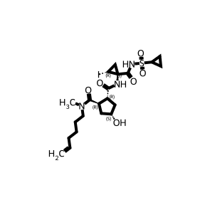 C=CCCCCN(C)C(=O)[C@@H]1C[C@@H](O)C[C@H]1C(=O)N[C@]1(C(=O)NS(=O)(=O)C2CC2)C[C@H]1I